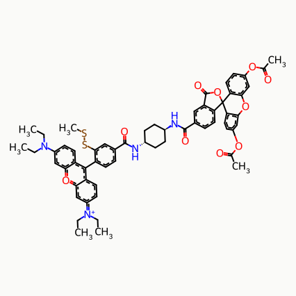 CCN(CC)c1ccc2c(-c3ccc(C(=O)N[C@H]4CC[C@H](NC(=O)c5ccc6c(c5)C(=O)OC65c6ccc(OC(C)=O)cc6Oc6cc(OC(C)=O)ccc65)CC4)cc3SSC)c3ccc(=[N+](CC)CC)cc-3oc2c1